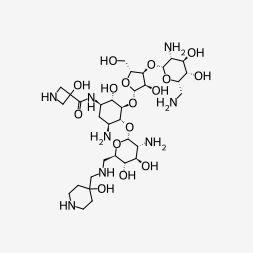 NC[C@@H]1O[C@H](O[C@H]2[C@@H](O)[C@H](O[C@@H]3[C@@H](O)[C@H](NC(=O)C4(O)CNC4)C[C@H](N)[C@H]3O[C@H]3O[C@H](CNCC4(O)CCNCC4)[C@@H](O)[C@H](O)[C@H]3N)O[C@@H]2CO)[C@H](N)[C@@H](O)[C@@H]1O